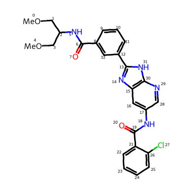 COCC(COC)NC(=O)c1cccc(-c2nc3cc(NC(=O)c4ccccc4Cl)cnc3[nH]2)c1